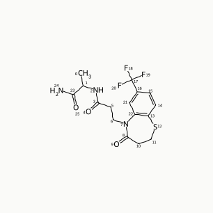 CC(NC(=O)CCN1C(=O)CCSc2ccc(C(F)(F)F)cc21)C(N)=O